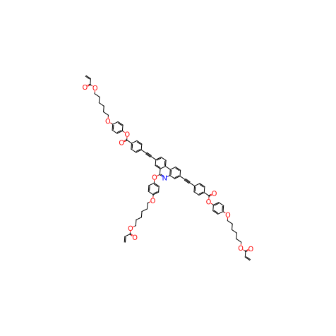 C=CC(=O)OCCCCCCOc1ccc(OC(=O)c2ccc(C#Cc3ccc4c(c3)nc(Oc3ccc(OCCCCCCOC(=O)C=C)cc3)c3cc(C#Cc5ccc(C(=O)Oc6ccc(OCCCCCCOC(=O)C=C)cc6)cc5)ccc34)cc2)cc1